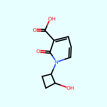 O=C(O)c1cccn(C2CCC2O)c1=O